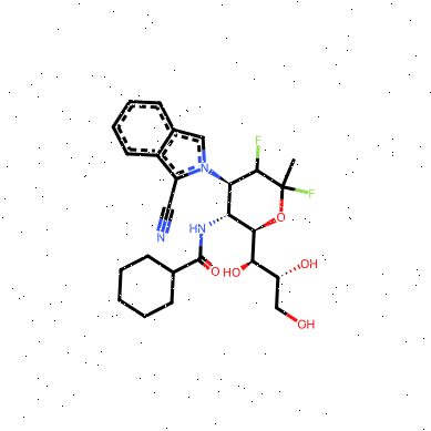 CC1(F)O[C@@H]([C@H](O)[C@H](O)CO)[C@H](NC(=O)C2CCCCC2)[C@@H](n2cc3ccccc3c2C#N)C1F